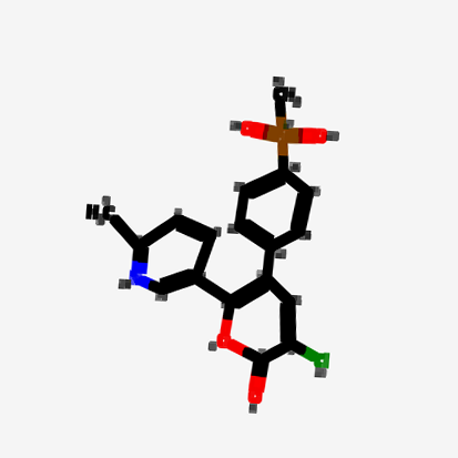 Cc1ccc(-c2oc(=O)c(Cl)cc2-c2ccc(S(C)(=O)=O)cc2)cn1